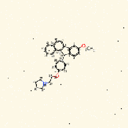 COc1ccc2c(c1)-c1ccc3ccccc3c1C2c1ccc(OCCN2CCCC2)cc1